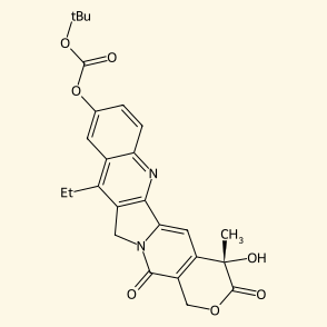 CCc1c2c(nc3ccc(OC(=O)OC(C)(C)C)cc13)-c1cc3c(c(=O)n1C2)COC(=O)[C@@]3(C)O